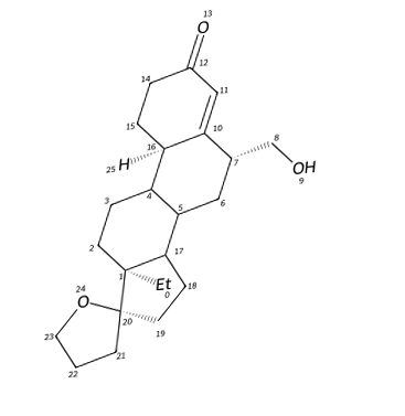 CC[C@]12CCC3C(C[C@@H](CO)C4=CC(=O)CC[C@@H]43)C1CC[C@@]21CCCO1